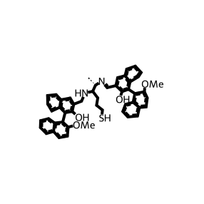 COc1ccc2ccccc2c1-c1c(O)c(/C=N/[C@@H](C)C(CCCS)NCc2cc3ccccc3c(-c3c(OC)ccc4ccccc34)c2O)cc2ccccc12